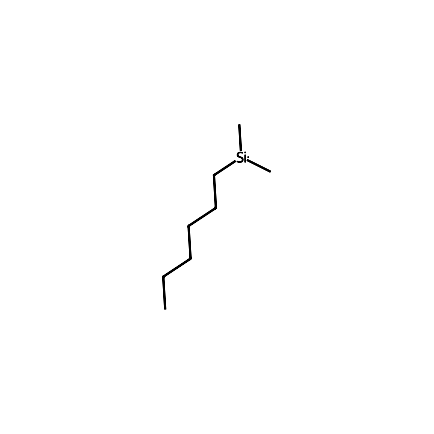 CCCCCC[Si](C)C